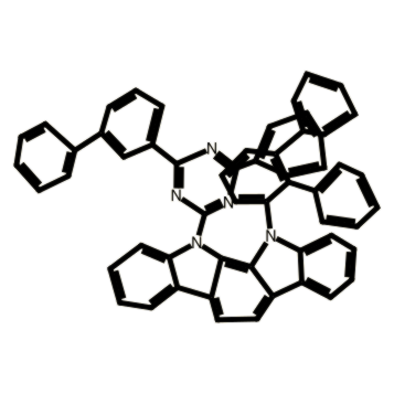 c1ccc(-c2cccc(-c3nc(-c4ccccc4)nc(-n4c5ccccc5c5ccc6c7ccccc7n(-c7cccc(-c8ccccc8)c7-c7ccccc7)c6c54)n3)c2)cc1